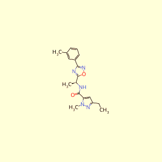 CCc1cc(C(=O)N[C@@H](C)c2nc(-c3cccc(C)c3)no2)n(C)n1